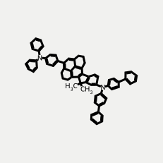 CC1(C)c2cc(N(c3ccc(-c4ccccc4)cc3)c3ccc(-c4ccccc4)cc3)ccc2-c2c1c1c3c(c(-c4ccc(N(c5ccccc5)c5ccccc5)cc4)cc4c3c2CCC4)CCC1